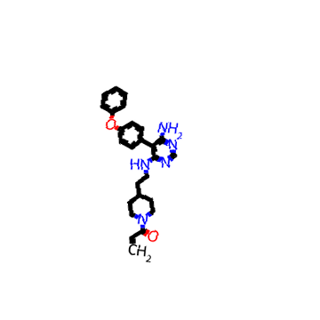 C=CC(=O)N1CCC(CCNc2ncnc(N)c2-c2ccc(Oc3ccccc3)cc2)CC1